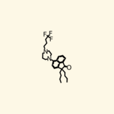 CCCCC1(CCCC)C(=O)c2cccc3c(N4CCCN(CCCC(F)(F)F)CC4)ccc1c23